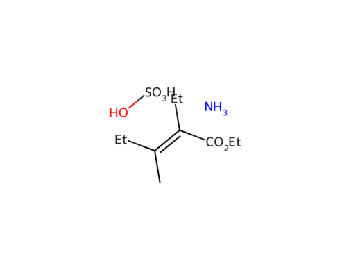 CCOC(=O)C(CC)=C(C)CC.N.O=S(=O)(O)O